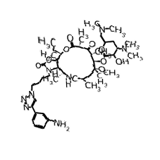 CC[C@H]1OC(=O)[C@H](C)C(=O)[C@H](C)[C@@H](O[C@@H]2OC(CN(C)C)CC(N(C)C)C2O)[C@](C)(OC)C[C@@H](C)CN[C@H](C)[C@H]2N(CCCCn3cc(-c4cccc(N)c4)nn3)C(=O)O[C@]12C